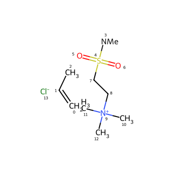 C=CC.CNS(=O)(=O)CC[N+](C)(C)C.[Cl-]